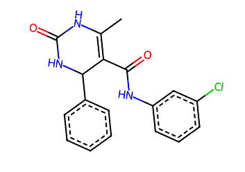 CC1=C(C(=O)Nc2cccc(Cl)c2)C(c2ccccc2)NC(=O)N1